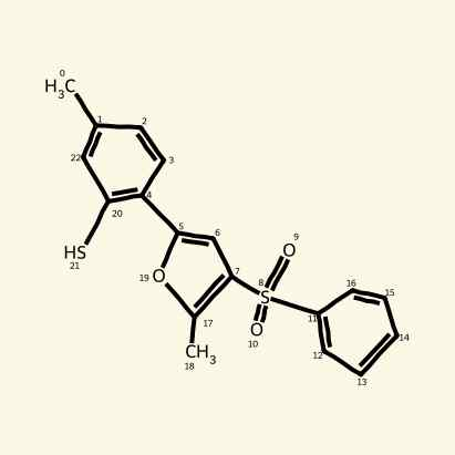 Cc1ccc(-c2cc(S(=O)(=O)c3ccccc3)c(C)o2)c(S)c1